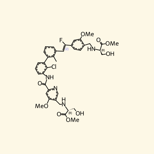 COC(=O)[C@@H](CO)NCc1ccc(/C(F)=C/c2cccc(-c3cccc(NC(=O)c4cc(OC)c(CN[C@H](CO)C(=O)OC)cn4)c3Cl)c2C)cc1OC